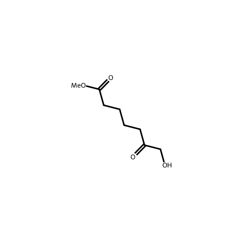 COC(=O)CCCCC(=O)CO